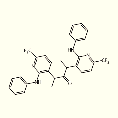 CC(C(=O)C(C)c1ccc(C(F)(F)F)nc1Nc1ccccc1)c1ccc(C(F)(F)F)nc1Nc1ccccc1